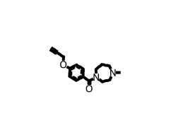 C#CCOc1ccc(C(=O)N2CCCN(C)CC2)cc1